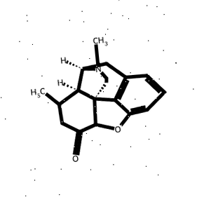 CC1CC(=O)C2Oc3cccc4c3[C@@]23CCN(C)[C@H](C4)[C@H]13